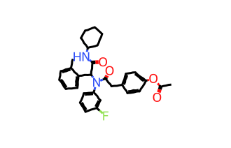 CC(=O)Oc1ccc(CC(=O)N(c2cccc(F)c2)C(C(=O)NC2CCCCC2)c2ccccc2C)cc1